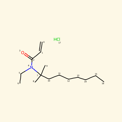 C=CC(=O)N(CC)C(C)(C)CCCCCCC.Cl